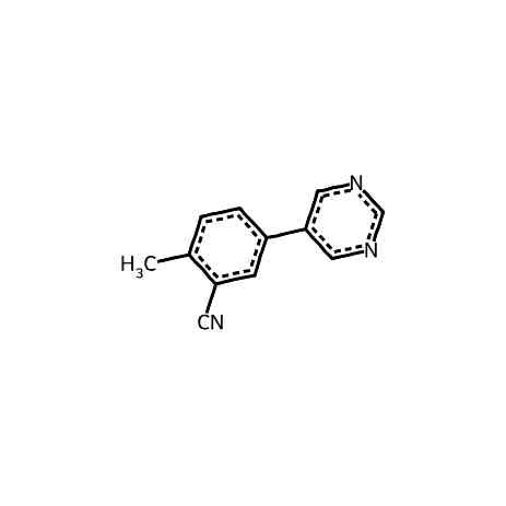 Cc1ccc(-c2cncnc2)cc1C#N